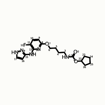 O=C(NCCCCOc1ccc(F)c(Nc2cc[nH]n2)n1)OC1CCCC1